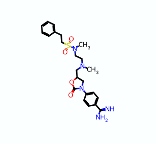 CN(CCN(C)S(=O)(=O)CCc1ccccc1)CC1CN(c2ccc(C(=N)N)cc2)C(=O)O1